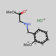 COC(=O)CNCc1ccccc1OC.Cl